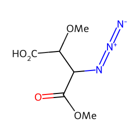 COC(=O)C(N=[N+]=[N-])C(OC)C(=O)O